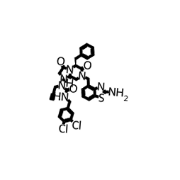 C#CCN(C(=O)NCc1ccc(Cl)c(Cl)c1)N1CC(=O)N2[C@@H](Cc3ccccc3)C(=O)N(Cc3cccc4sc(N)nc34)C[C@@H]21